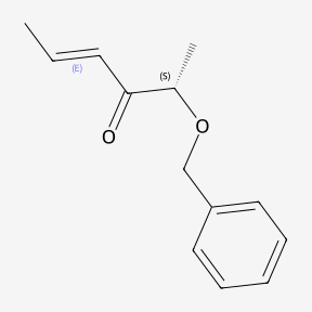 C/C=C/C(=O)[C@H](C)OCc1ccccc1